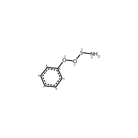 NSOOc1ccccc1